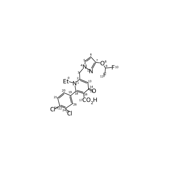 CCn1c(Cn2ccc(OC(F)F)n2)cc(=O)c(C(=O)O)c1-c1ccc(Cl)c(Cl)c1